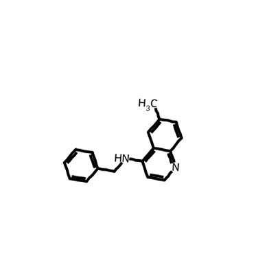 Cc1ccc2nccc(NCc3ccccc3)c2c1